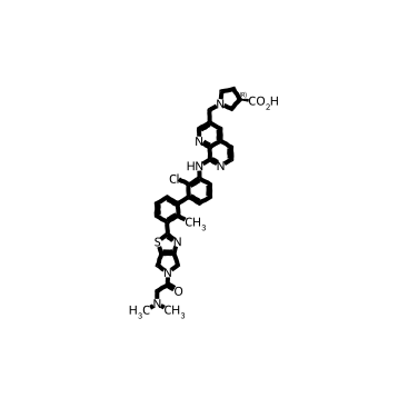 Cc1c(-c2nc3c(s2)CN(C(=O)CN(C)C)C3)cccc1-c1cccc(Nc2nccc3cc(CN4CC[C@@H](C(=O)O)C4)cnc23)c1Cl